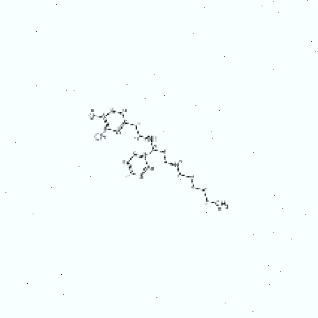 CCCCCCN=CCC(NCCc1ccc(Cl)c(Cl)c1)c1ccccc1